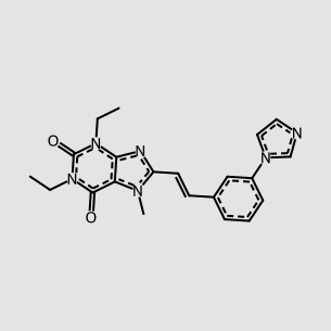 CCn1c(=O)c2c(nc(/C=C/c3cccc(-n4ccnc4)c3)n2C)n(CC)c1=O